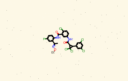 CCO/N=C(\C)c1cc(F)ccc1NC(=O)c1cc(NC(=O)C2C(c3cc(Cl)cc(Cl)c3)C2(Cl)Cl)ccc1Cl